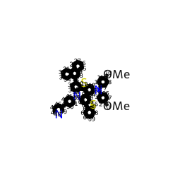 COc1ccc(N(c2ccc(OC)cc2)c2ccc3c(c2)sc2c(-c4cc5ccccc5c5ccccc45)ccc(N(c4ccc(-c5cccnc5)cc4)c4ccc5sc6ccccc6c5c4)c23)cc1